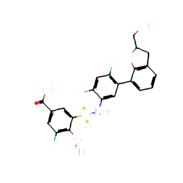 COc1c(Cl)cc(C(=O)O)cc1S(=O)(=O)Nc1cc(-c2cccc3c2OC(CO)C3)c(F)cc1F